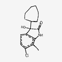 Cc1c(Cl)ccc2c1NC(=O)C2(O)C1CCCCCC1